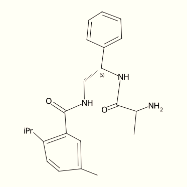 Cc1ccc(C(C)C)c(C(=O)NC[C@@H](NC(=O)C(C)N)c2ccccc2)c1